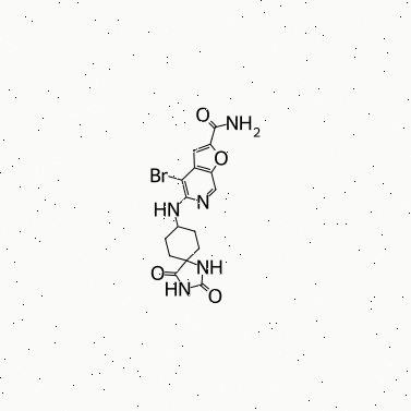 NC(=O)c1cc2c(Br)c(NC3CCC4(CC3)NC(=O)NC4=O)ncc2o1